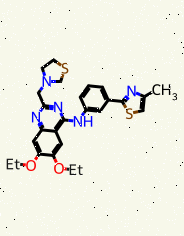 CCOc1cc2nc(CN3CCSC3)nc(Nc3cccc(-c4nc(C)cs4)c3)c2cc1OCC